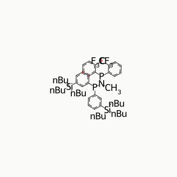 CCCC[Si](CCCC)(CCCC)c1cccc(P(c2cccc([Si](CCCC)(CCCC)CCCC)c2)N(C)P(c2ccccc2C(F)(F)F)c2ccccc2C(F)(F)F)c1